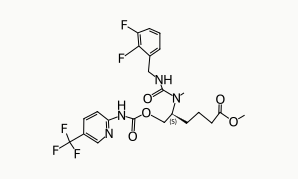 COC(=O)CCC[C@@H](COC(=O)Nc1ccc(C(F)(F)F)cn1)N(C)C(=O)NCc1cccc(F)c1F